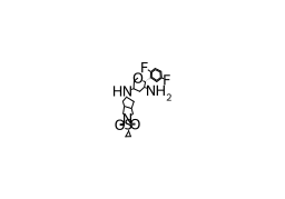 N[C@H]1C[C@@H](NC2CC3CN(S(=O)(=O)C4CC4)CC3C2)CO[C@@H]1c1cc(F)ccc1F